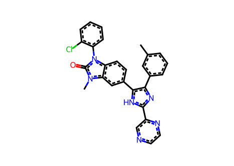 Cc1cccc(-c2nc(-c3cnccn3)[nH]c2-c2ccc3c(c2)n(C)c(=O)n3-c2ccccc2Cl)c1